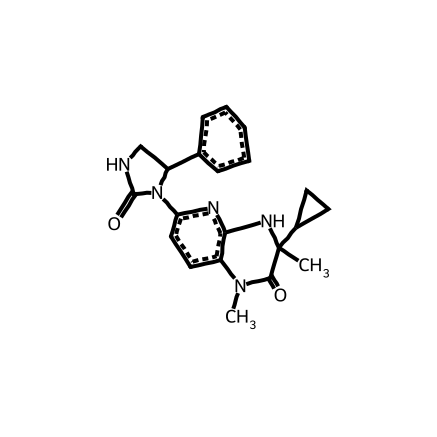 CN1C(=O)C(C)(C2CC2)Nc2nc(N3C(=O)NCC3c3ccccc3)ccc21